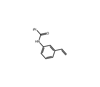 C=Cc1cccc(NC(=O)C(C)C)c1